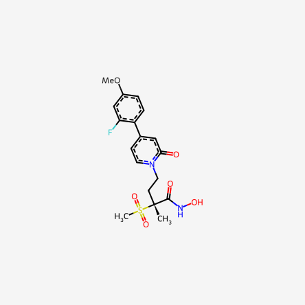 COc1ccc(-c2ccn(CC[C@](C)(C(=O)NO)S(C)(=O)=O)c(=O)c2)c(F)c1